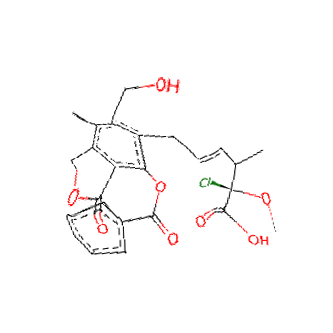 CO[C@](Cl)(C(=O)O)C(C)C=CCc1c(CO)c(C)c2c(c1OC(=O)c1ccccc1)C(=O)OC2